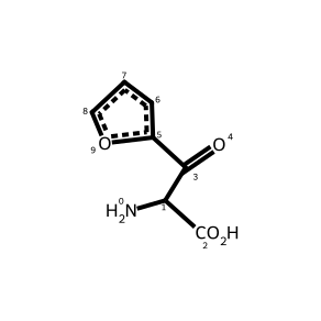 NC(C(=O)O)C(=O)c1ccco1